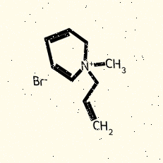 C=CC[N+]1(C)C=CC=CC1.[Br-]